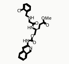 COC(=O)CC[C@@H](COC(=O)Nc1cc2ccccc2cn1)NC(=O)CNCc1ccccc1Cl